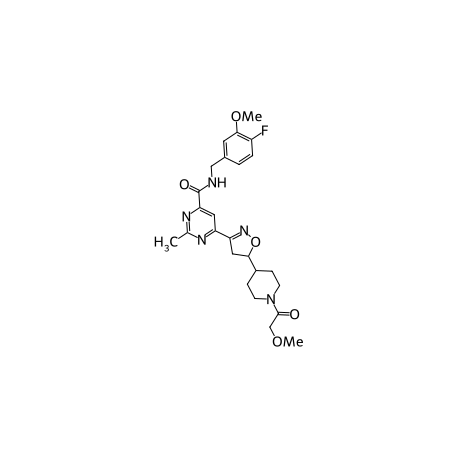 COCC(=O)N1CCC(C2CC(c3cc(C(=O)NCc4ccc(F)c(OC)c4)nc(C)n3)=NO2)CC1